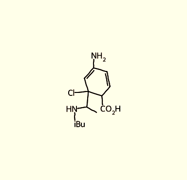 CCC(C)NC(C)C1(Cl)C=C(N)C=CC1C(=O)O